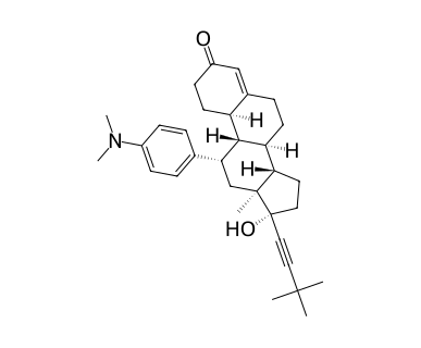 CN(C)c1ccc([C@H]2C[C@@]3(C)[C@@H](CC[C@@]3(O)C#CC(C)(C)C)[C@@H]3CCC4=CC(=O)CC[C@@H]4[C@H]32)cc1